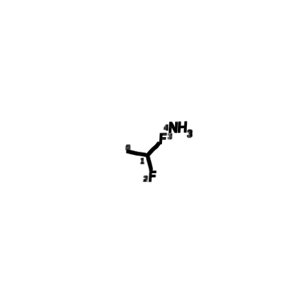 CC(F)F.N